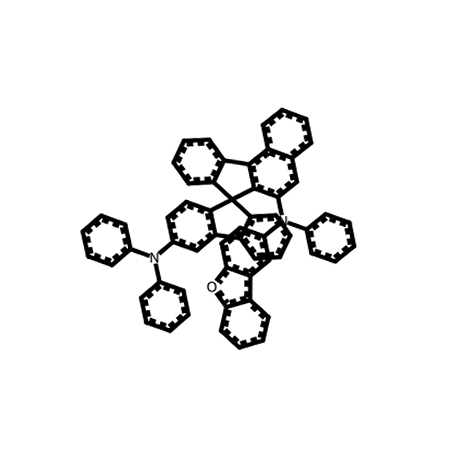 c1ccc(N(c2ccccc2)c2ccc3c(c2)-c2ccccc2C32c3ccccc3-c3c2c(N(c2ccccc2)c2ccc4oc5ccccc5c4c2)cc2ccccc32)cc1